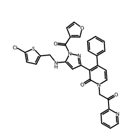 O=C(Cn1ccc(-c2ccccc2)c(-c2cc(NCc3ccc(Cl)s3)n(C(=O)c3ccoc3)n2)c1=O)c1ccccn1